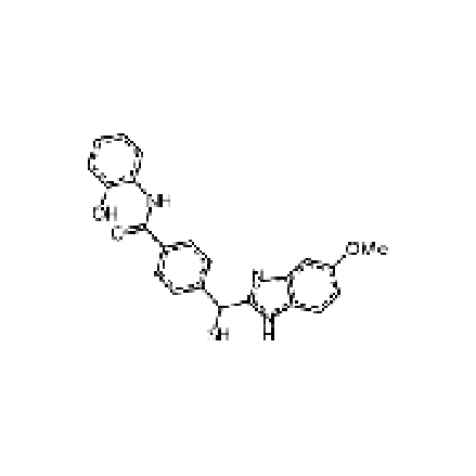 COc1ccc2[nH]c(C(S)c3ccc(C(=O)Nc4ccccc4O)cc3)nc2c1